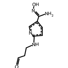 N/C(=N\O)c1ccc(NCCC=O)nc1